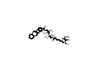 CNC(=O)C(C(C)C)N(C)CCCCCCC(=O)NCC(C)(C)OCC(C)(C)CNC(=O)c1ccc2nc3c(nc2c1)CSC1CCCCCC1SC3